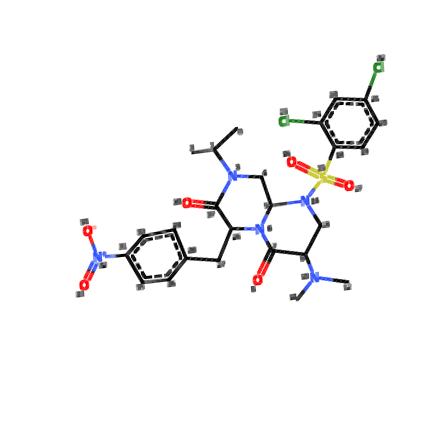 CC(C)N1CC2N(C(=O)C(N(C)C)CN2S(=O)(=O)c2ccc(Cl)cc2Cl)C(Cc2ccc([N+](=O)[O-])cc2)C1=O